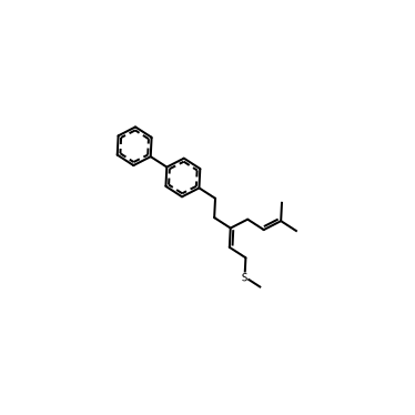 CSC/C=C(\CC=C(C)C)CCc1ccc(-c2ccccc2)cc1